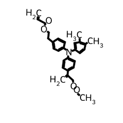 C=CC(=O)OCCc1ccc(N(c2ccc(C(=C)COOCC)cc2)c2ccc(C)c(C)c2)cc1